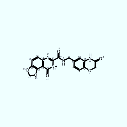 O=C1COc2ccc(CNC(=O)c3nc4ccc5c(c4c(=O)[nH]3)OCO5)cc2N1